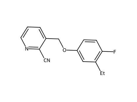 CCc1cc(OCc2cccnc2C#N)ccc1F